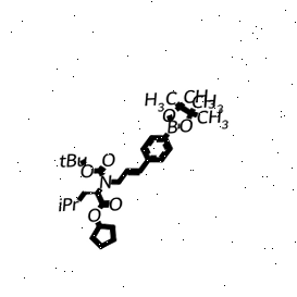 CC(C)C[C@H](C(=O)OC1CCCC1)N(C/C=C/c1ccc(B2OC(C)(C)C(C)(C)O2)cc1)C(=O)OC(C)(C)C